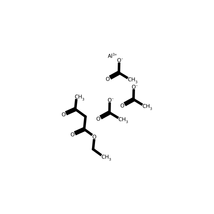 CC(=O)[O-].CC(=O)[O-].CC(=O)[O-].CCOC(=O)CC(C)=O.[Al+3]